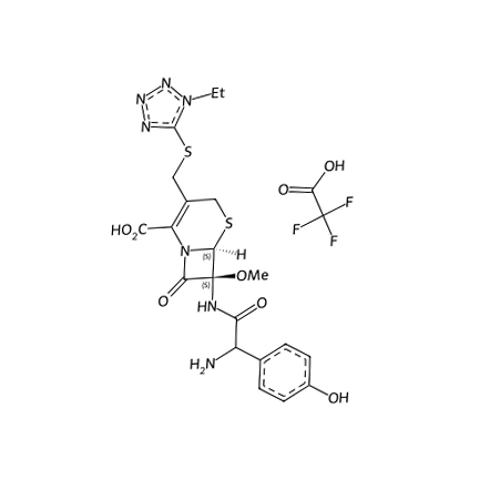 CCn1nnnc1SCC1=C(C(=O)O)N2C(=O)[C@](NC(=O)C(N)c3ccc(O)cc3)(OC)[C@@H]2SC1.O=C(O)C(F)(F)F